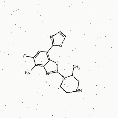 CC1CNCCN1c1nc2c(C(F)(F)F)c(F)cc(-c3nccs3)c2o1